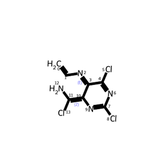 C=C/N=C1/C(Cl)=NC(Cl)=N/C1=C(/N)Cl